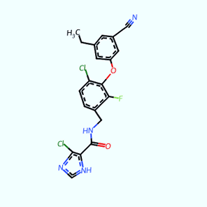 CCc1cc(C#N)cc(Oc2c(Cl)ccc(CNC(=O)c3[nH]cnc3Cl)c2F)c1